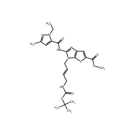 CCn1nc(C)cc1C(=O)Nc1nc2cc(C(=O)OC)sc2n1C/C=C/CNC(=O)OC(C)(C)C